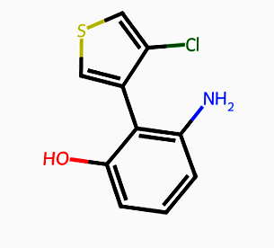 Nc1cccc(O)c1-c1cscc1Cl